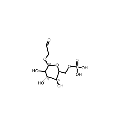 O=CCO[C@H]1OC(COP(=O)(O)O)[C@@H](O)[C@H](O)C1O